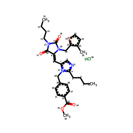 CCCCc1ncc(C=C2C(=O)N(CCCC)C(=O)N2Cc2sccc2C)n1Cc1ccc(C(=O)OC)cc1.Cl